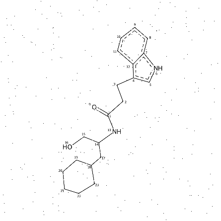 O=C(CCc1c[nH]c2ccccc12)NC(CO)CC1CCCCC1